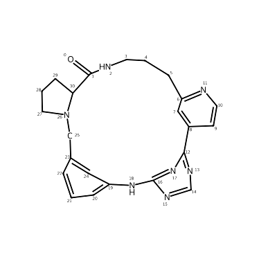 O=C1NCCCc2cc(ccn2)-c2ncnc(n2)Nc2cccc(c2)CN2CCCC12